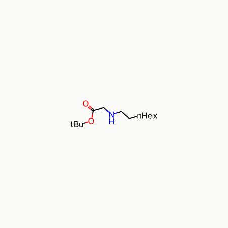 [CH2]CCCCCCCNCC(=O)OC(C)(C)C